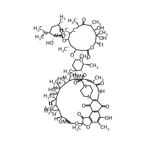 CC[C@H]1OC(=O)[C@H](C)[C@@H](O[C@H]2C[C@@](C)(OC)[C@@H](OC(=O)N3CCN(C4=C5NC(=O)/C(C)=C\C=C\[C@H](C)[C@H](O)[C@@H](C)[C@@H](O)[C@@H](C)[C@H](OC(C)=O)[C@H](C)[C@@H](OC)/C=C/O[C@@]6(C)Oc7c(C)c(O)c(c(c7C6=O)C4=O)C5=O)CC3)[C@H](C)O2)[C@H](C)[C@@H](O[C@@H]2O[C@H](C)C[C@H](N(C)C)[C@H]2O)[C@](C)(OC)C[C@@H](C)C(=O)[C@H](C)[C@@H](O)[C@]1(C)O